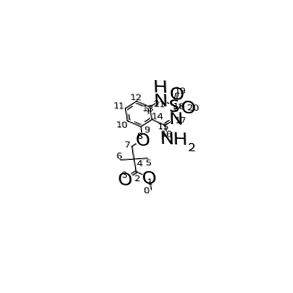 COC(=O)C(C)(C)COc1cccc2c1C(N)=NS(=O)(=O)N2